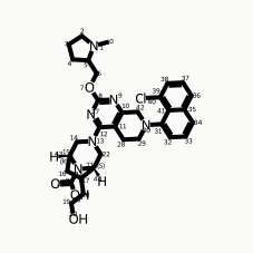 CN1CCCC1COc1nc2c(c(N3C[C@H]4CC(CCO)[C@@H](C3)N4C(=O)O)n1)CCN(c1cccc3cccc(Cl)c13)C2